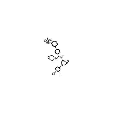 CN(C(=O)CN(CC#N)c1ccc(Cl)c(Cl)c1)C(CN1CCOCC1)c1ccc(-c2cccc(NS(C)(=O)=O)c2)cc1